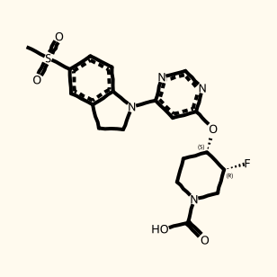 CS(=O)(=O)c1ccc2c(c1)CCN2c1cc(O[C@H]2CCN(C(=O)O)C[C@H]2F)ncn1